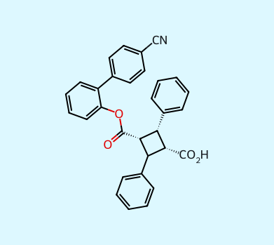 N#Cc1ccc(-c2ccccc2OC(=O)[C@H]2C(c3ccccc3)[C@@H](C(=O)O)[C@H]2c2ccccc2)cc1